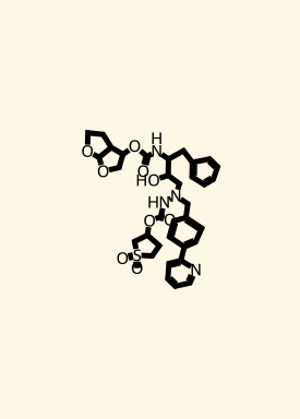 O=C(NN(Cc1ccc(-c2ccccn2)cc1)CC(O)C(Cc1ccccc1)NC(=O)OC1COC2OCCC12)OC1CCS(=O)(=O)C1